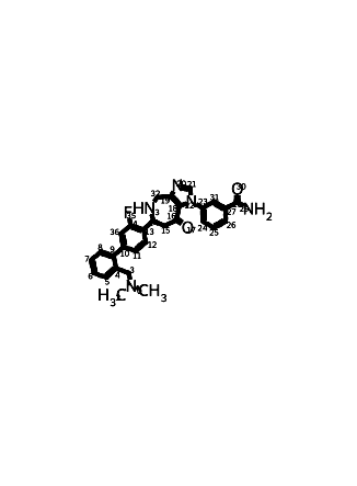 CN(C)Cc1ccccc1-c1ccc(C2CC(=O)c3c(ncn3-c3cccc(C(N)=O)c3)CN2)c(F)c1